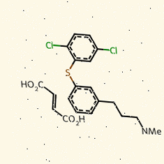 CNCCCc1cccc(Sc2cc(Cl)ccc2Cl)c1.O=C(O)/C=C/C(=O)O